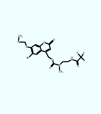 COCOc1cc2oc(=O)cc(COC(=O)N(C)CCNC(=O)C(F)(F)F)c2cc1Br